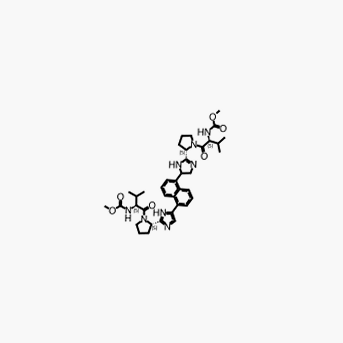 COC(=O)N[C@H](C(=O)N1CCC[C@H]1C1=NCC(c2cccc3c(-c4cnc([C@@H]5CCCN5C(=O)[C@@H](NC(=O)OC)C(C)C)[nH]4)cccc23)N1)C(C)C